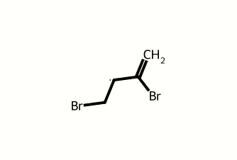 C=C(Br)[CH]CBr